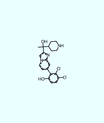 CC(O)(c1cn2ccc(-c3c(O)ccc(Cl)c3Cl)cc2n1)C1CCNCC1